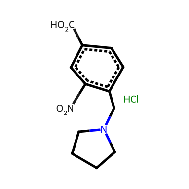 Cl.O=C(O)c1ccc(CN2CCCC2)c([N+](=O)[O-])c1